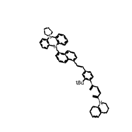 C=C(/C=C\C(=C)N1CCCC2=C1CCC=C2)c1ccc(/C=C/c2cccc3c(N4c5ccccc5S5(CCCC5)c5ccccc54)cccc23)cc1C(C)(C)C